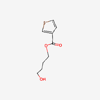 O=C(OCCCCO)c1ccsc1